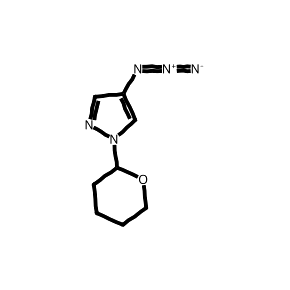 [N-]=[N+]=Nc1cnn(C2CCCCO2)c1